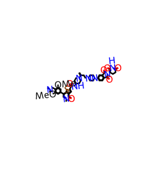 C=C(CCN1CCN(c2ccc3c(c2)C(=O)N(C2CCC(=O)NC2=O)C3=O)CC1)N1CCC(NC(=O)c2cc3c(=O)n(C)cc(-c4cc(OC)c(CN(C)C)c(OC)c4)c3s2)CC1